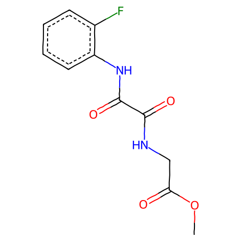 COC(=O)CNC(=O)C(=O)Nc1ccccc1F